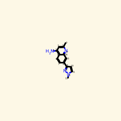 Cc1cc(N)c2ccc(-c3ccn(C)n3)cc2n1